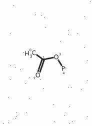 CC(=O)O[P]